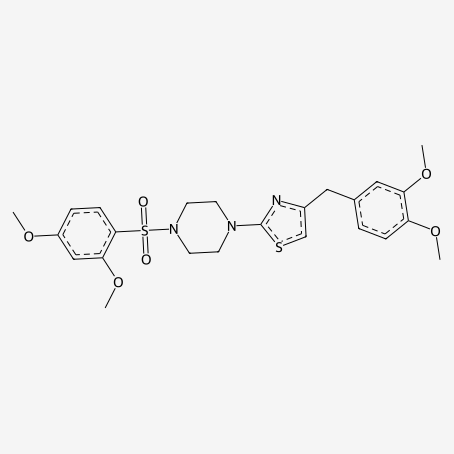 COc1ccc(S(=O)(=O)N2CCN(c3nc(Cc4ccc(OC)c(OC)c4)cs3)CC2)c(OC)c1